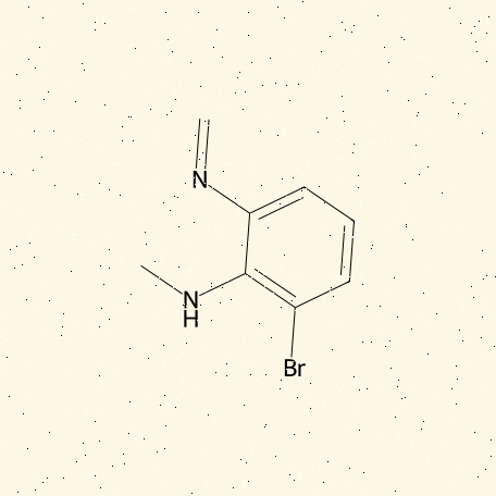 C=Nc1cccc(Br)c1NC